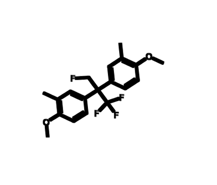 COc1ccc(C(CF)(c2ccc(OC)c(C)c2)C(F)(F)F)cc1C